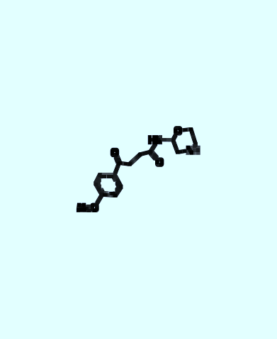 COc1ccc(C(=O)CCC(=O)NC2CNCCO2)cc1